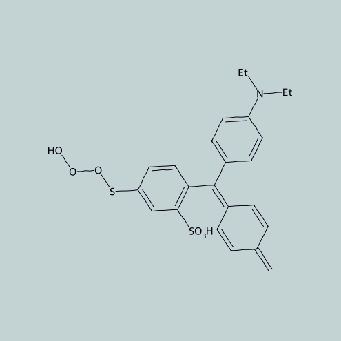 C=c1ccc(=C(c2ccc(N(CC)CC)cc2)c2ccc(SOOO)cc2S(=O)(=O)O)cc1